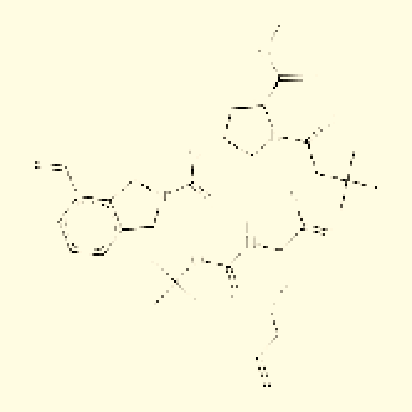 C=CCOC[C@H](NC(=O)OC(C)(C)C)C(=O)N[C@H](C(=O)N1C[C@H](OC(=O)N2Cc3cccc(C=C)c3C2)C[C@H]1C(=O)OC)C(C)(C)C